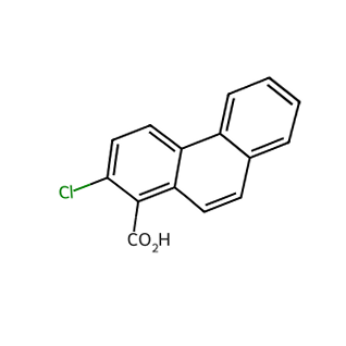 O=C(O)c1c(Cl)ccc2c1ccc1ccccc12